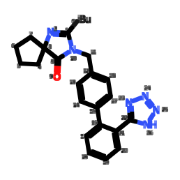 CCC(C)C1=NC2(CCCC2)C(=O)N1Cc1ccc(-c2ccccc2-c2nnn[nH]2)cc1